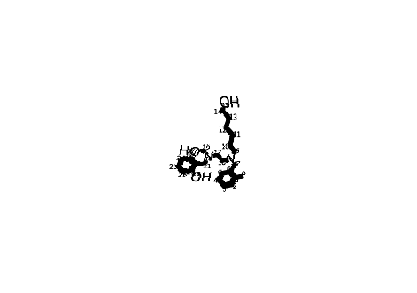 Cc1ccccc1CN(CCCCCCO)CCN(CO)Cc1ccccc1O